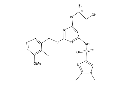 CC[C@H](CO)Nc1cc(NS(=O)(=O)c2cn(C)c(C)n2)nc(SCc2cccc(OC)c2C)n1